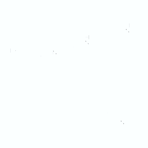 N#Cc1cccc(-c2cc(NC3CN(C(=O)CO)C3)c3c(c2)=CCNC=3)c1